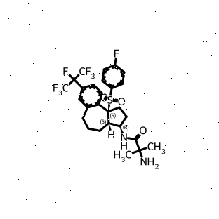 CC(C)(N)C(=O)N[C@@H]1CC[C@@]2(S(=O)(=O)c3ccc(F)cc3)c3ccc(C(F)(C(F)(F)F)C(F)(F)F)cc3CCC[C@@H]12